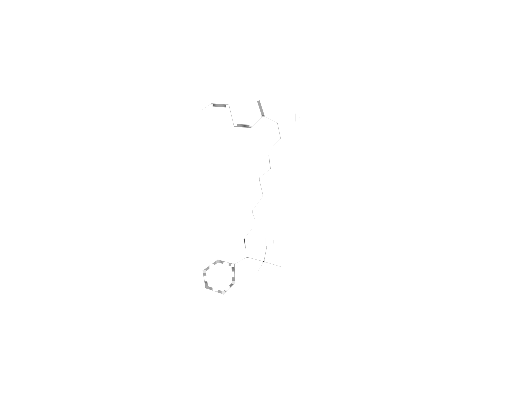 C=C(/C=C\C=C/C)[C@@H](COCCCCOC[C@H](c1ccccc1)C(C)(C)CC)C(C)(C)C